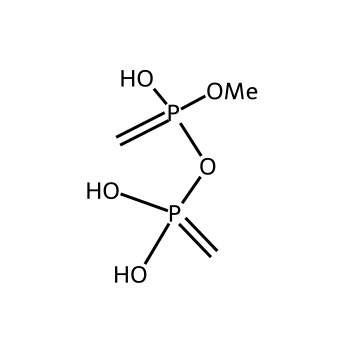 C=P(O)(O)OP(=C)(O)OC